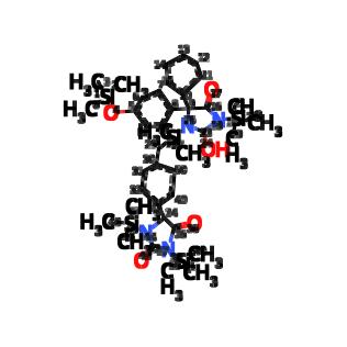 C[Si](C)(C)Oc1ccc(C2(c3ccccc3)C(=O)N([Si](C)(C)C)C(O)N2[Si](C)(C)Cc2ccc(C3C(=O)N([Si](C)(C)C)C(=O)N3[Si](C)(C)C)cc2)cc1